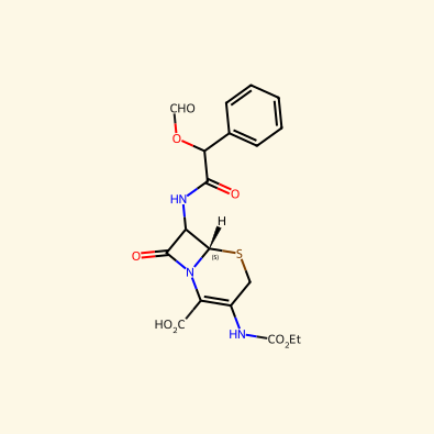 CCOC(=O)NC1=C(C(=O)O)N2C(=O)C(NC(=O)C(OC=O)c3ccccc3)[C@@H]2SC1